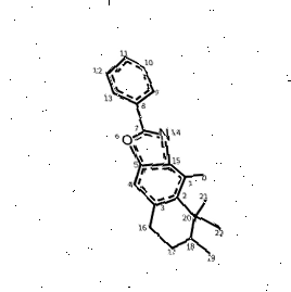 Cc1c2c(cc3oc(-c4ccccc4)nc13)CCC(C)C2(C)C